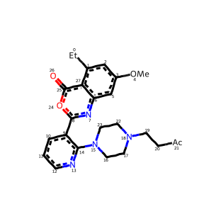 CCc1cc(OC)cc2nc(-c3cccnc3N3CCN(CCC(C)=O)CC3)oc(=O)c12